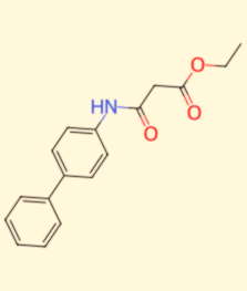 CCOC(=O)CC(=O)Nc1ccc(-c2ccccc2)cc1